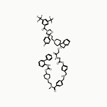 CN(CC(=O)Oc1ccc(CNCc2ccc(C(=O)N(C)CCN3CCC(OC(=O)Nc4ccccc4-c4ccccc4)CC3)cc2)cc1)C(=O)CO[C@H]1Cc2ccccc2C12CCN(CC[C@@]1(c3ccc(F)cc3)CN(C(=O)c3cc(C(F)(F)F)cc(C(F)(F)F)c3)CO1)CC2